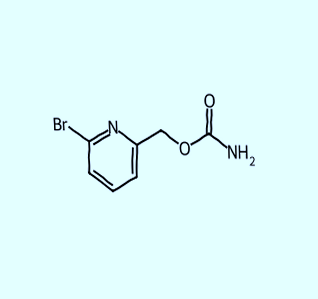 NC(=O)OCc1cccc(Br)n1